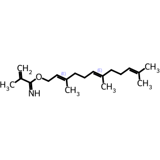 C=C(C)C(=N)OC/C=C(\C)CC/C=C(\C)CCC=C(C)C